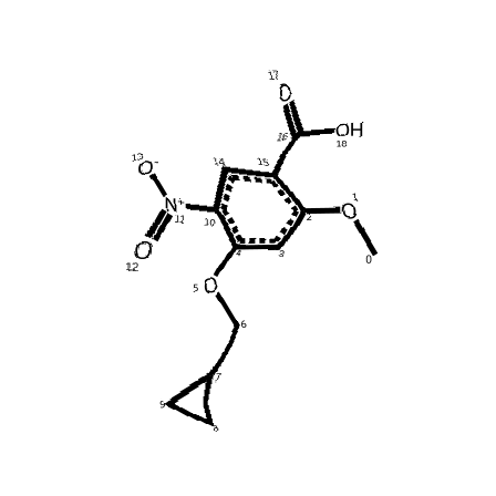 COc1cc(OCC2CC2)c([N+](=O)[O-])cc1C(=O)O